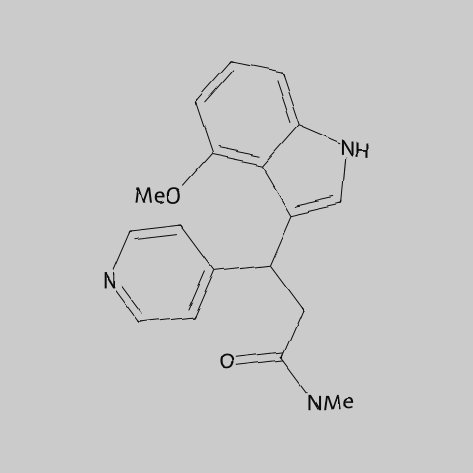 CNC(=O)CC(c1ccncc1)c1c[nH]c2cccc(OC)c12